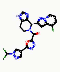 O=C(c1nnc(-c2cnn(C(F)F)c2)o1)N1CCc2[nH]cnc2[C@H]1c1cc2c(F)cccn2n1